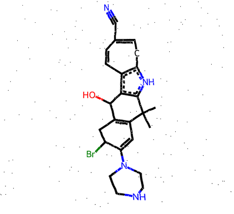 CC1(C)C2=C(CC(Br)C(N3CCNCC3)=C2)C(O)c2c1[nH]c1c2C=CC(C#N)=CC1